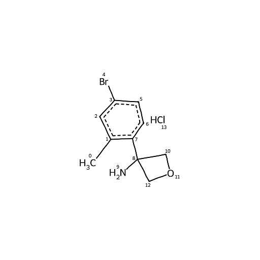 Cc1cc(Br)ccc1C1(N)COC1.Cl